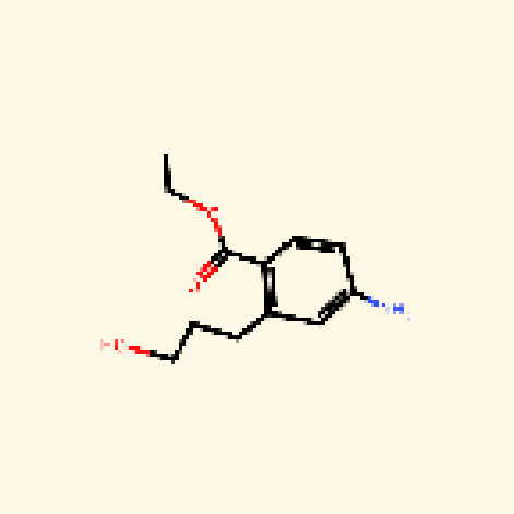 CCOC(=O)c1ccc(N)cc1CCCO